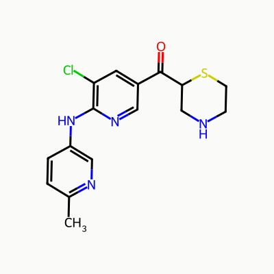 Cc1ccc(Nc2ncc(C(=O)C3CNCCS3)cc2Cl)cn1